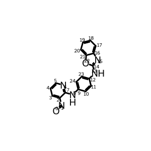 O=Nc1cccnc1Nc1ccc(Nc2nc3ccccc3o2)cc1